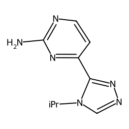 CC(C)n1cnnc1-c1ccnc(N)n1